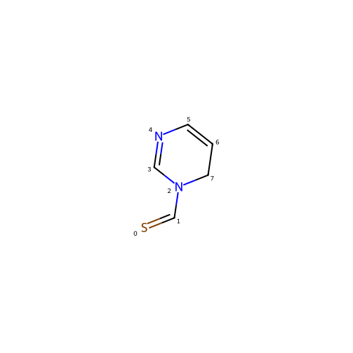 S=CN1C=NC=CC1